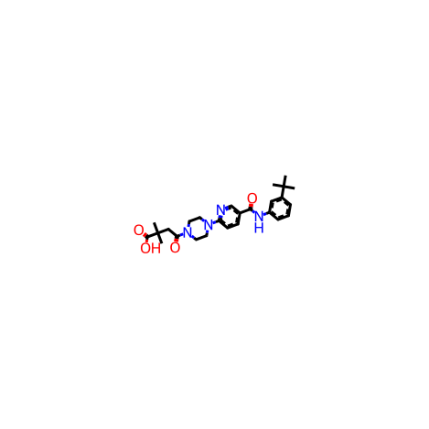 CC(C)(CC(=O)N1CCN(c2ccc(C(=O)Nc3cccc(C(C)(C)C)c3)cn2)CC1)C(=O)O